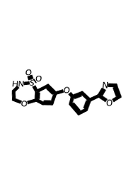 O=S1(=O)NCCOc2ccc(Oc3cccc(-c4ncco4)c3)cc21